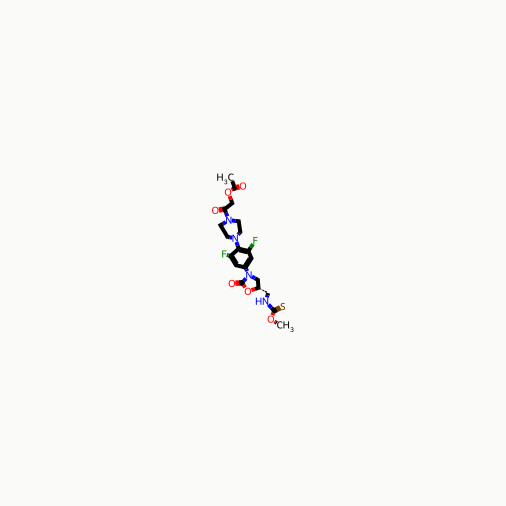 COC(=S)NC[C@H]1CN(c2cc(F)c(N3CCN(C(=O)COC(C)=O)CC3)c(F)c2)C(=O)O1